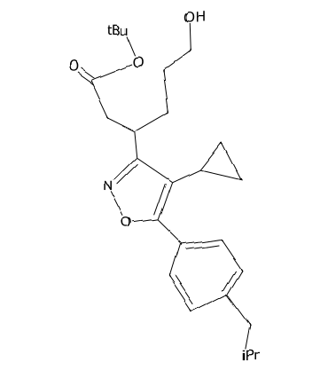 CC(C)Cc1ccc(-c2onc(C(CCCO)CC(=O)OC(C)(C)C)c2C2CC2)cc1